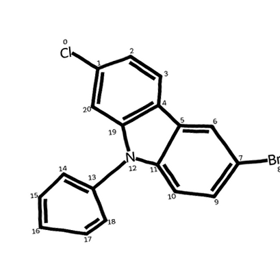 Clc1ccc2c3cc(Br)ccc3n(-c3ccccc3)c2c1